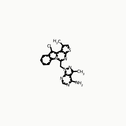 Cc1nn(Cc2nc3scc(C)c3c3c(Cl)c4ccccc4n23)c2ncnc(N)c12